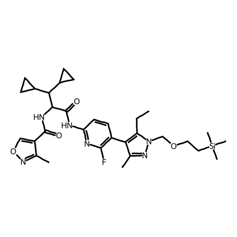 CCc1c(-c2ccc(NC(=O)C(NC(=O)c3conc3C)C(C3CC3)C3CC3)nc2F)c(C)nn1COCC[Si](C)(C)C